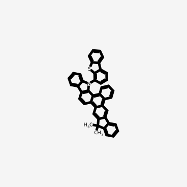 CC1(C)c2ccccc2-c2cc3c4ccccc4c4c(ccc5c6ccccc6n(-c6cccc7c6sc6ccccc67)c54)c3cc21